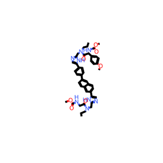 CCCN(Cc1ncc(-c2ccc3cc(-c4ccc(-c5cnc(CN(CCC)C(=O)[C@H](NC(=O)OC)c6ccc(OC)cc6)[nH]5)cc4)ccc3c2)[nH]1)C(=O)CNC(=O)OC